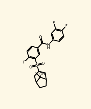 CC1(O)C2CCC1CC(S(=O)(=O)c1cc(C(=O)Nc3ccc(F)c(F)c3)ccc1F)C2